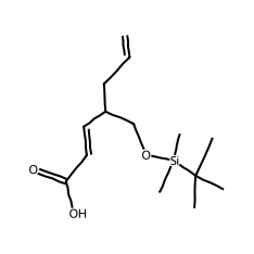 C=CCC(C=CC(=O)O)CO[Si](C)(C)C(C)(C)C